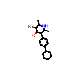 Cc1[nH]c(C)c(-c2ccc(-c3ccccc3)cc2)c(=O)c1Br